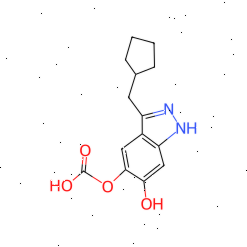 O=C(O)Oc1cc2c(CC3CCCC3)n[nH]c2cc1O